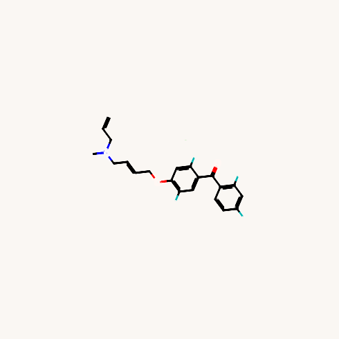 C=CCN(C)CC=CCOc1cc(F)c(C(=O)c2ccc(F)cc2F)cc1F.Cl